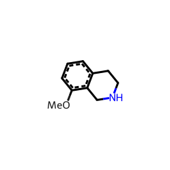 COc1cccc2c1CNCC2